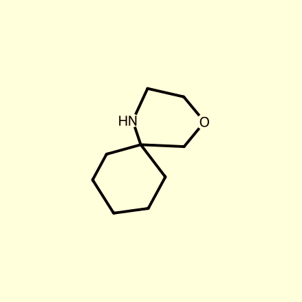 C1CCC2(CC1)COCCN2